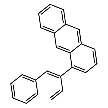 C=CC(=Cc1ccccc1)c1cccc2cc3ccccc3cc12